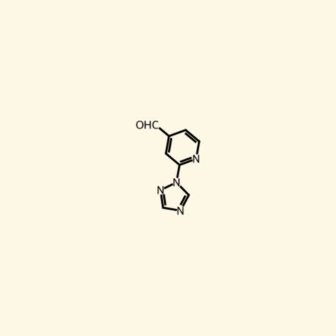 O=Cc1ccnc(-n2cncn2)c1